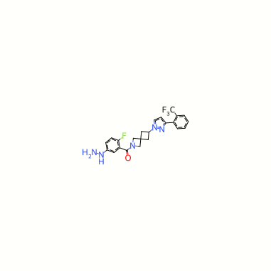 NNc1ccc(F)c(C(=O)N2CC3(CC(n4ccc(-c5ccccc5C(F)(F)F)n4)C3)C2)c1